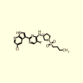 CCCCS(=O)(=O)N1CC[C@H](Nc2nc(-c3c[nH]c4ncc(Cl)cc34)ncc2F)C1